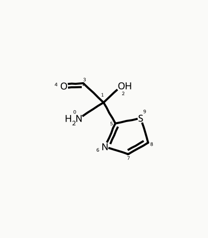 NC(O)([C]=O)c1nccs1